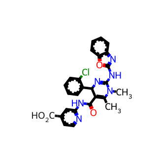 CC1=C(C(=O)Nc2cc(C(=O)O)ccn2)C(c2ccccc2Cl)N=C(Nc2nc3ccccc3o2)N1C